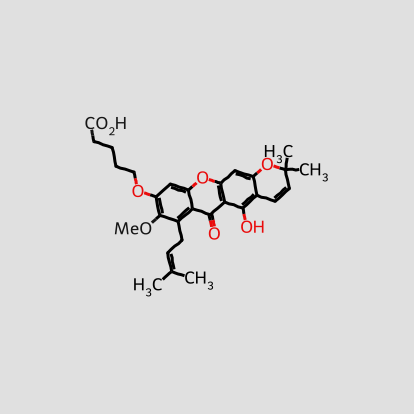 COc1c(OCCCCC(=O)O)cc2oc3cc4c(c(O)c3c(=O)c2c1CC=C(C)C)C=CC(C)(C)O4